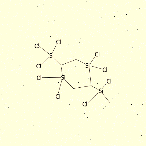 C[Si](Cl)(Cl)C1C[Si](Cl)(Cl)C([Si](Cl)(Cl)Cl)C[Si]1(Cl)Cl